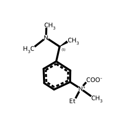 CC[N+](C)(C(=O)[O-])c1cccc([C@H](C)N(C)C)c1